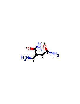 NCC(CC(N)=O)C(N)=O